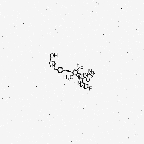 Cc1c(C#Cc2ccc(CN3CCC(CO)CC3)cc2)cc(C(F)F)c2cn(C(C(=O)Nc3nccs3)c3ncn4c3C[C@@H](F)C4)nc12